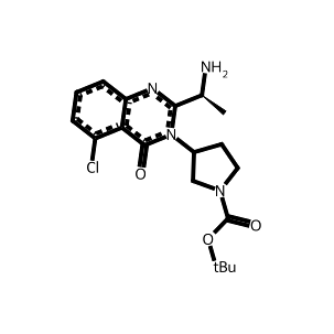 C[C@H](N)c1nc2cccc(Cl)c2c(=O)n1C1CCN(C(=O)OC(C)(C)C)C1